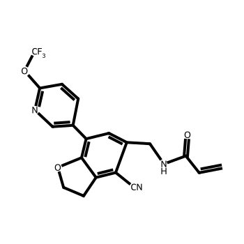 C=CC(=O)NCc1cc(-c2ccc(OC(F)(F)F)nc2)c2c(c1C#N)CCO2